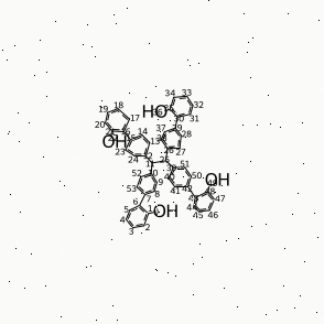 Oc1ccccc1-c1ccc(C(c2ccc(-c3ccccc3O)cc2)C(c2ccc(-c3ccccc3O)cc2)c2ccc(-c3ccccc3O)cc2)cc1